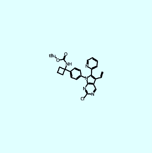 C=Cc1c(-c2ccccn2)n(-c2ccc(C3(NC(=O)OC(C)(C)C)CCC3)cc2)c2nc(Cl)ncc12